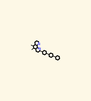 Cc1c(C)c2ccc(-c3ccc(-c4ccc(-c5ccccc5)cc4)cc3)nc2c2ncccc12